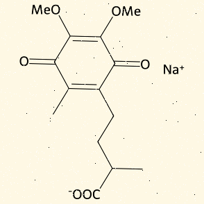 COC1=C(OC)C(=O)C(CCC(C)C(=O)[O-])=C(C)C1=O.[Na+]